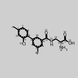 Cc1ccc(-c2cc(F)cc(C(=O)NC[C@@H](N)C(=O)O)c2)c(Cl)c1